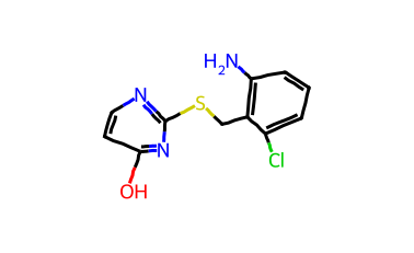 Nc1cccc(Cl)c1CSc1nccc(O)n1